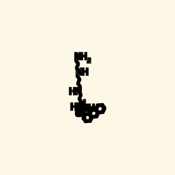 NCCCNCCCCNCCCN[SH](=O)(S)c1cccc2cc3ccccc3cc12